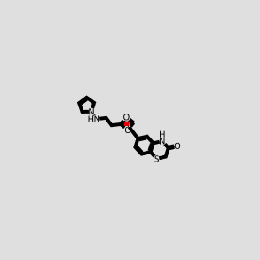 O=C1CSc2ccc(N3CC4(CCNN5CC=CC5)OC3O4)cc2N1